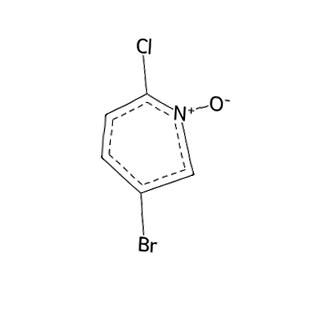 [O-][n+]1cc(Br)ccc1Cl